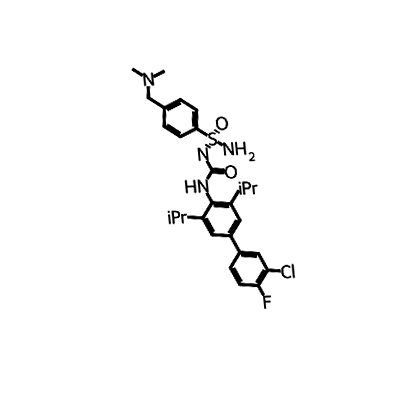 CC(C)c1cc(-c2ccc(F)c(Cl)c2)cc(C(C)C)c1NC(=O)N=S(N)(=O)c1ccc(CN(C)C)cc1